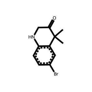 CC1(C)C(=O)CNc2ccc(Br)cc21